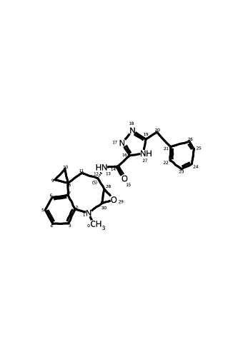 CN1c2ccccc2C2(CC2)C[C@H](NC(=O)c2nnc(Cc3ccccc3)[nH]2)C2OC21